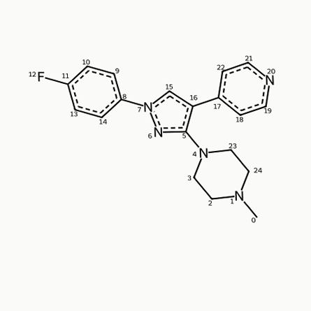 CN1CCN(c2nn(-c3ccc(F)cc3)cc2-c2ccncc2)CC1